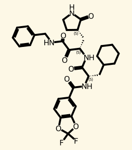 O=C(NCc1ccccc1)C(=O)[C@H](C[C@@H]1CCNC1=O)NC(=O)[C@H](CC1CCCCC1)NC(=O)c1ccc2c(c1)OC(F)(F)O2